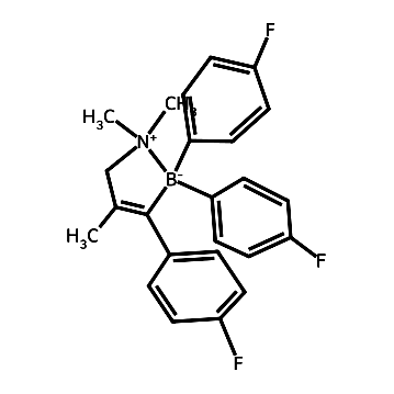 CC1=C(c2ccc(F)cc2)[B-](c2ccc(F)cc2)(c2ccc(F)cc2)[N+](C)(C)C1